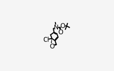 CN(CC1=CC=C(C=O)[C@](C)(Cl)C1)C(=O)OC(C)(C)C